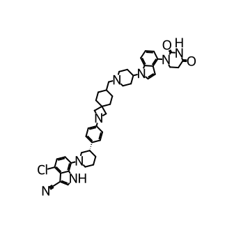 N#Cc1c[nH]c2c(N3CCC[C@@H](c4ccc(N5CC6(CCC(CN7CCC(n8ccc9c(N%10CCC(=O)NC%10=O)cccc98)CC7)CC6)C5)cc4)C3)ccc(Cl)c12